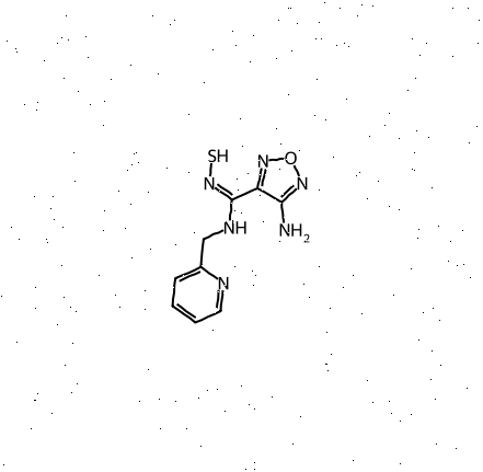 Nc1nonc1C(=NS)NCc1ccccn1